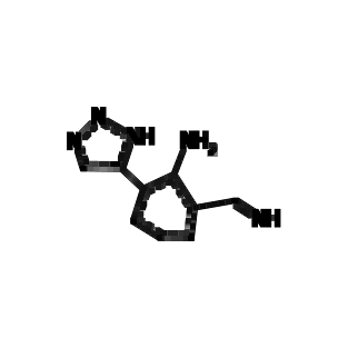 N=Cc1cccc(-c2cnn[nH]2)c1N